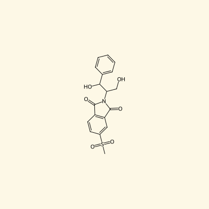 CS(=O)(=O)c1ccc2c(c1)C(=O)N(C(CO)C(O)c1ccccc1)C2=O